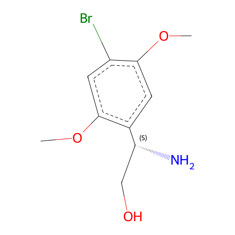 COc1cc([C@H](N)CO)c(OC)cc1Br